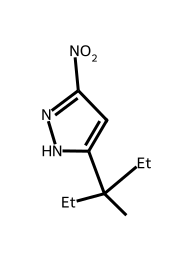 CCC(C)(CC)c1cc([N+](=O)[O-])n[nH]1